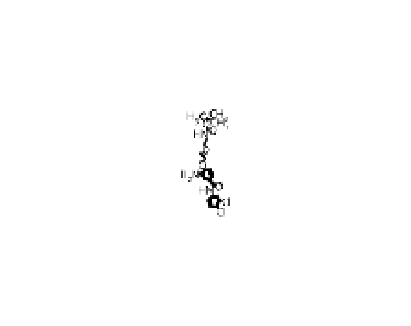 CC(C)(C)OC(=O)NCCOCCOc1ccc(C(=O)Nc2ccc(Cl)c(Cl)c2)cc1N